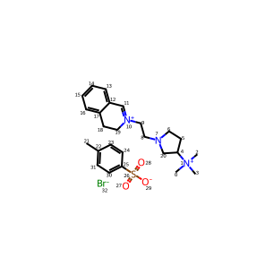 C[N+](C)(C)C1CCN(CC[N+]2=Cc3ccccc3CC2)C1.Cc1ccc(S(=O)(=O)[O-])cc1.[Br-]